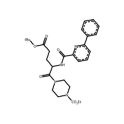 CCOC(=O)N1CCN(C(=O)C(CCC(=O)OC(C)(C)C)NC(=O)c2cccc(-c3ccccc3)n2)CC1